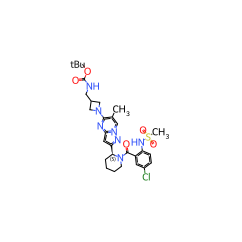 Cc1cn2nc([C@@H]3CCCCN3C(=O)c3cc(Cl)ccc3NS(C)(=O)=O)cc2nc1N1CC(CNC(=O)OC(C)(C)C)C1